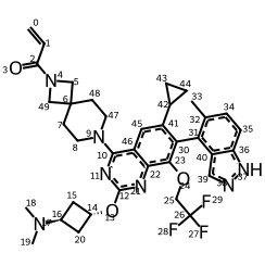 C=CC(=O)N1CC2(CCN(c3nc(O[C@H]4C[C@H](N(C)C)C4)nc4c(OCC(F)(F)F)c(-c5c(C)ccc6[nH]ncc56)c(C5CC5)cc34)CC2)C1